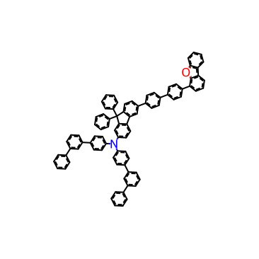 c1ccc(-c2cccc(-c3ccc(N(c4ccc(-c5cccc(-c6ccccc6)c5)cc4)c4ccc5c(c4)C(c4ccccc4)(c4ccccc4)c4ccc(-c6ccc(-c7ccc(-c8cccc9c8oc8ccccc89)cc7)cc6)cc4-5)cc3)c2)cc1